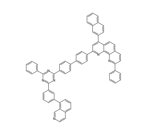 c1ccc(-c2ccc3ccc4c(-c5ccc6ccccc6c5)cc(-c5ccc(-c6ccc(-c7nc(-c8ccccc8)nc(-c8cccc(-c9cccc%10ccncc9%10)c8)n7)cc6)cc5)nc4c3n2)cc1